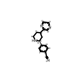 N#Cc1ccc([C@@H]2CC(c3cnccn3)CCN2)cc1